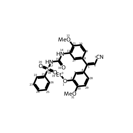 CCOc1cc(C(=CC#N)c2ccc(OC)c(NC(=O)NS(=O)(=O)c3ccccc3)c2)ccc1OC